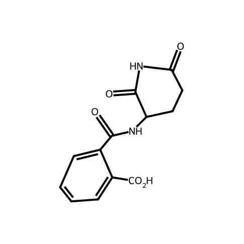 O=C1CCC(NC(=O)c2ccccc2C(=O)O)C(=O)N1